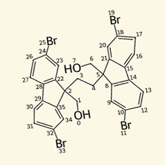 OCC1(CCC2(CO)c3cc(Br)ccc3-c3ccc(Br)cc32)c2cc(Br)ccc2-c2ccc(Br)cc21